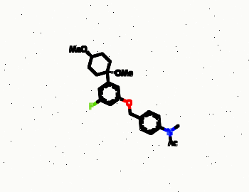 CO[C@H]1CC[C@@](OC)(c2cc(F)cc(OCc3ccc(N(C)C(C)=O)cc3)c2)CC1